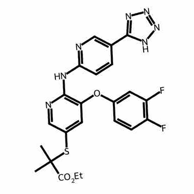 CCOC(=O)C(C)(C)Sc1cnc(Nc2ccc(-c3nnn[nH]3)cn2)c(Oc2ccc(F)c(F)c2)c1